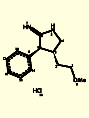 COCC[C@H]1CNC(=N)[C@@H]1c1ccccc1.Cl